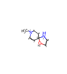 CN1CCC2(CC1)NCCO2